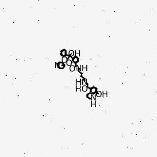 O=C(NCCCCNCC(O)c1ccc(O)c2c1C=CCN2)c1cccc(C(O)(C(=O)OC2CN3CCC2CC3)c2ccccc2)c1